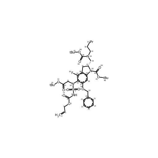 C=CCOC(=O)NS(=O)(=O)N(CC(=O)OC(C)(C)C)c1c(OCc2ccccc2)cc2c(c1F)C[C@H](CN(CCC(C)C)C(=O)OC(C)(C)C)N2C(=O)OC(C)(C)C